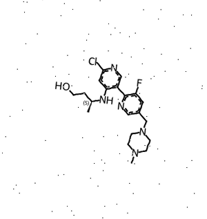 C[C@@H](CCO)Nc1cc(Cl)ncc1-c1ncc(CN2CCN(C)CC2)cc1F